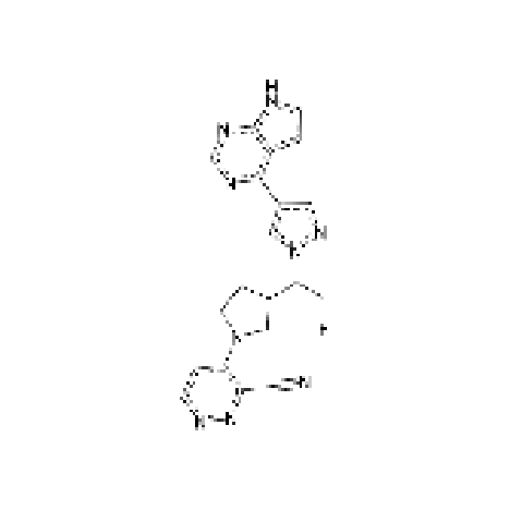 N#Cc1nnccc1N1CCC(C(CF)n2cc(-c3ncnc4[nH]ccc34)cn2)C1